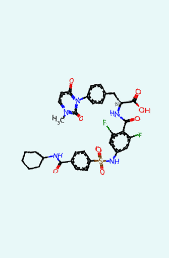 Cn1ccc(=O)n(-c2ccc(C[C@H](NC(=O)c3c(F)cc(NS(=O)(=O)c4ccc(C(=O)NC5CCCCC5)cc4)cc3F)C(=O)O)cc2)c1=O